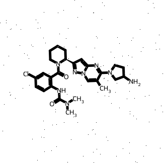 Cc1cn2nc([C@@H]3CCCCN3C(=O)c3cc(Cl)ccc3NC(=O)N(C)C)cc2nc1N1CCC(N)C1